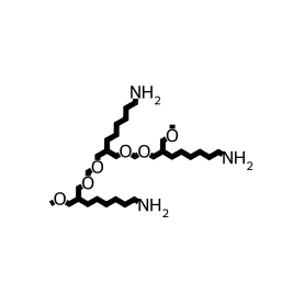 COCC(CCCCCCN)COCOCC(CCCCCCN)COCOCC(CCCCCCN)COC